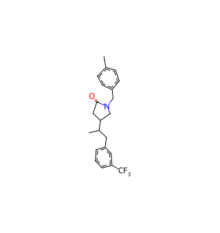 Cc1ccc(CN2CC(C(C)Cc3cccc(C(F)(F)F)c3)CC2=O)cc1